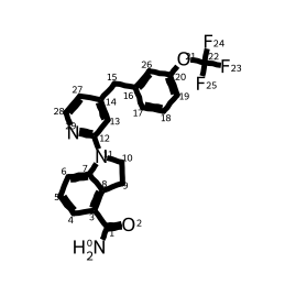 NC(=O)c1cccc2c1CCN2c1cc(Cc2cccc(OC(F)(F)F)c2)ccn1